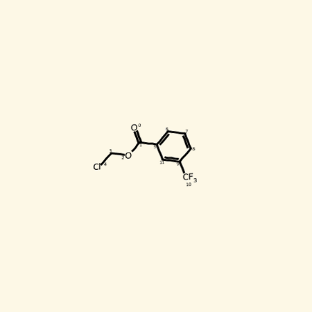 O=C(OCCl)c1cccc(C(F)(F)F)c1